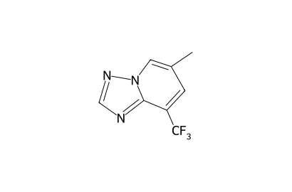 Cc1cc(C(F)(F)F)c2ncnn2c1